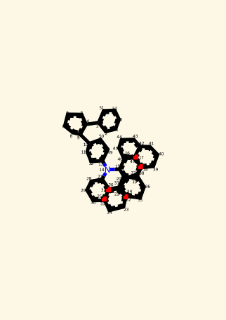 c1ccc(-c2ccccc2-c2ccc(N(c3ccccc3-c3ccccc3)c3ccccc3-c3cccc(-c4cccc5ccccc45)c3)cc2)cc1